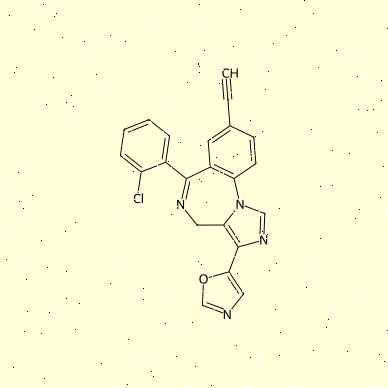 C#Cc1ccc2c(c1)C(c1ccccc1Cl)=NCc1c(-c3cnco3)ncn1-2